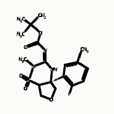 Cc1ccc(F)c([C@]23COCC2S(=O)(=O)N(C)/C(=N\C(=O)OC(C)(C)C)N3)c1